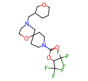 O=C(OC(C(F)(F)F)C(F)(F)F)N1CCC2(CC1)CN(CC1CCCOC1)CCO2